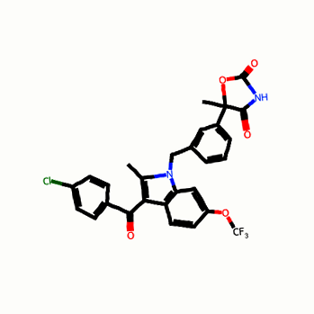 Cc1c(C(=O)c2ccc(Cl)cc2)c2ccc(OC(F)(F)F)cc2n1Cc1cccc(C2(C)OC(=O)NC2=O)c1